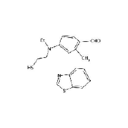 CCN(CCS)c1ccc(C=O)c(C)c1.c1ccc2scnc2c1